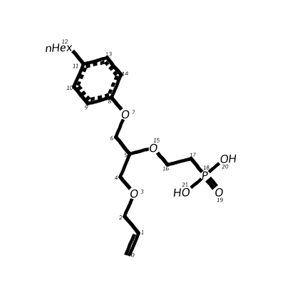 C=CCOCC(COc1ccc(CCCCCC)cc1)OCCP(=O)(O)O